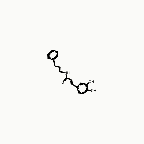 O=C(/C=C/c1ccc(O)c(O)c1)NCCCc1ccccc1